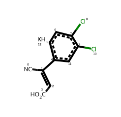 N#C/C(=C\C(=O)O)c1ccc(Cl)c(Cl)c1.[KH]